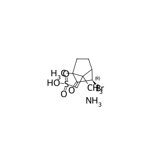 CC12CCC([C@@H](Br)C1=O)C2(C)CS(=O)(=O)O.N